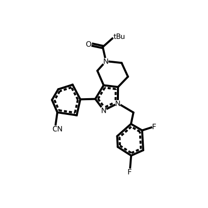 CC(C)(C)C(=O)N1CCc2c(c(-c3cccc(C#N)c3)nn2Cc2ccc(F)cc2F)C1